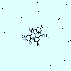 C=C(Nc1ccc(Br)cc1C(=C)N1C[C@H](C)C[C@H](C)C1)C1CC(=O)NC(=O)N1